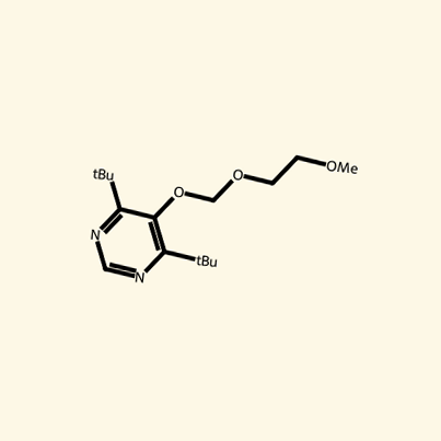 COCCOCOc1c(C(C)(C)C)ncnc1C(C)(C)C